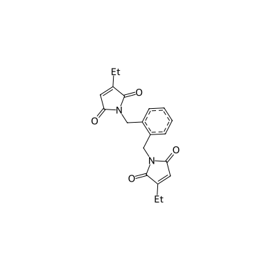 CCC1=CC(=O)N(Cc2ccccc2CN2C(=O)C=C(CC)C2=O)C1=O